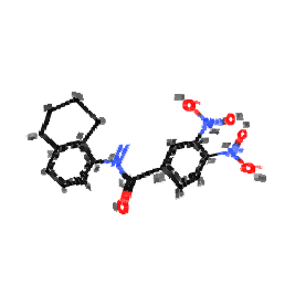 O=C(Nc1cccc2c1CCCC2)c1ccc([N+](=O)[O-])c([N+](=O)[O-])c1